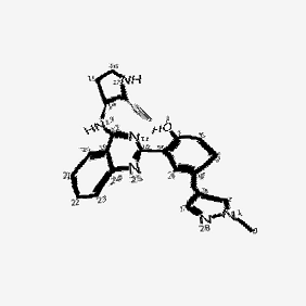 Cn1cc(-c2ccc(O)c(-c3nc(N[C@H]4CCNC4)c4ccccc4n3)c2)cn1